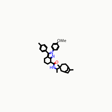 COc1ccc(-n2nc3c(c2-c2ccc(C)cc2)CCCC3C(=O)NC(C)C2(C)CCC3CC(CC3C)C2)cc1